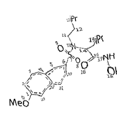 COc1ccc2cc(S(=O)(=O)N(CCC(C)C)C(C(=O)NO)C(C)C)ccc2c1